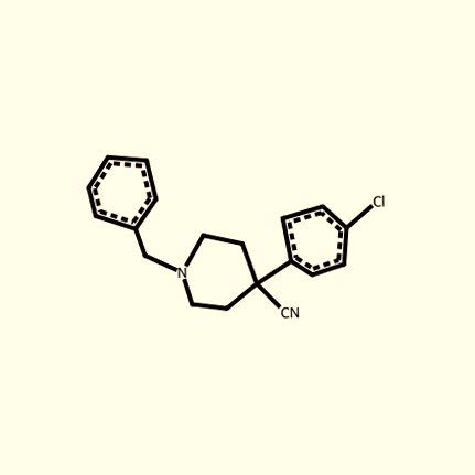 N#CC1(c2ccc(Cl)cc2)CCN(Cc2ccccc2)CC1